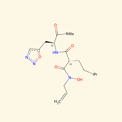 C=CCN(O)C(=O)[C@@H](CCC(C)C)C(=O)N[C@@H](Cc1cnno1)C(=O)NC